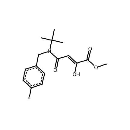 COC(=O)C(O)=CC(=O)N(Cc1ccc(F)cc1)C(C)(C)C